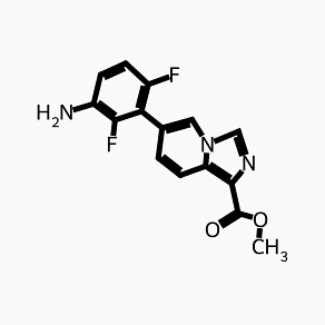 COC(=O)c1ncn2cc(-c3c(F)ccc(N)c3F)ccc12